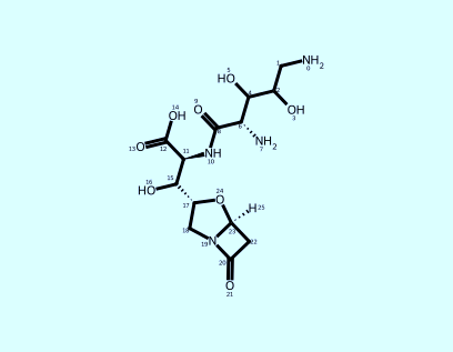 NCC(O)C(O)[C@H](N)C(=O)N[C@H](C(=O)O)C(O)[C@H]1CN2C(=O)C[C@@H]2O1